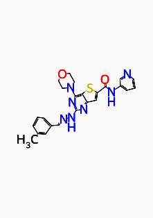 Cc1cccc(/C=N/Nc2nc(N3CCOCC3)c3sc(C(=O)Nc4cccnc4)cc3n2)c1